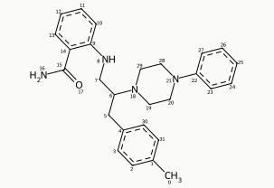 Cc1ccc(CC(CNc2ccccc2C(N)=O)N2CCN(c3ccccc3)CC2)cc1